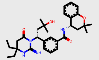 CCC1(CC)CC(=O)N([C@H](CC(C)(C)O)c2cccc(C(=O)N[C@H]3CC(C)(C)Oc4ccccc43)c2)C(=N)N1